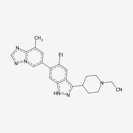 CCc1cc2c(C3CCN(CC#N)CC3)n[nH]c2cc1-c1cc(C)c2ncnn2c1